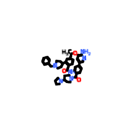 CC(Oc1cc(-c2ccc(C(=O)N3CCC(N4CCCC4)CC3)cc2)cnc1N)c1ccc(C(N)=O)c(C2CCN(Cc3ccccc3)CC2)c1